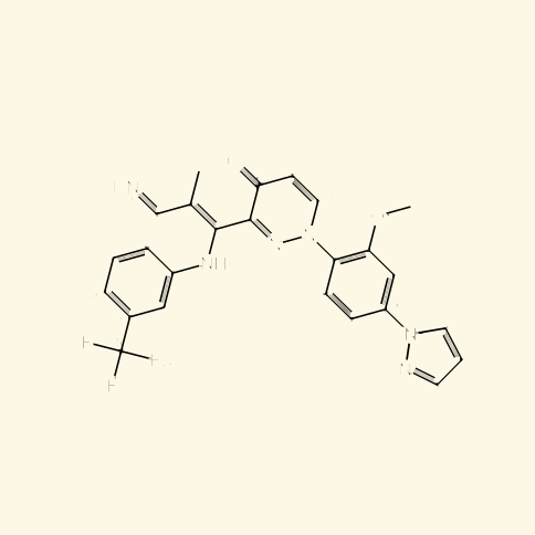 COc1cc(-n2cccn2)ccc1-n1ccc(=O)c(/C(Nc2cccc(C(F)(F)F)c2)=C(\C)C=N)n1